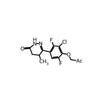 CC(=O)COc1c(F)cc(C2=NNC(=O)CC2C)c(F)c1Cl